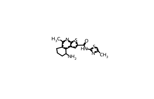 Cc1csc(NC(=O)c2cc3c4c(c(C)nc3s2)CCCC4N)n1